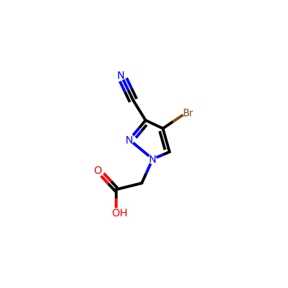 N#Cc1nn(CC(=O)O)cc1Br